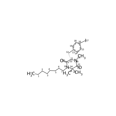 CCCCCCCCN1C(=O)[C@H](Cc2ccc(I)cc2)N(C)C(=O)C1(C)C